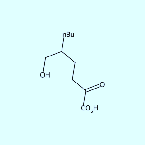 CCCCC(CO)CCC(=O)C(=O)O